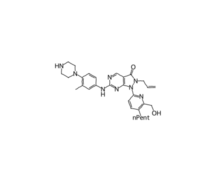 C=CCn1c(=O)c2cnc(Nc3ccc(N4CCNCC4)c(C)c3)nc2n1-c1ccc(CCCCC)c(CO)n1